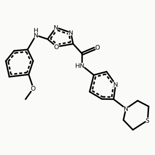 COc1cccc(Nc2nnc(C(=O)Nc3ccc(N4CCSCC4)nc3)o2)c1